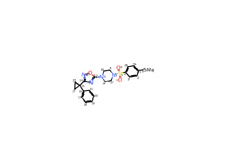 CSc1ccc(S(=O)(=O)N2CCN(c3nc(C4(c5ccccc5)CC4)no3)CC2)cc1